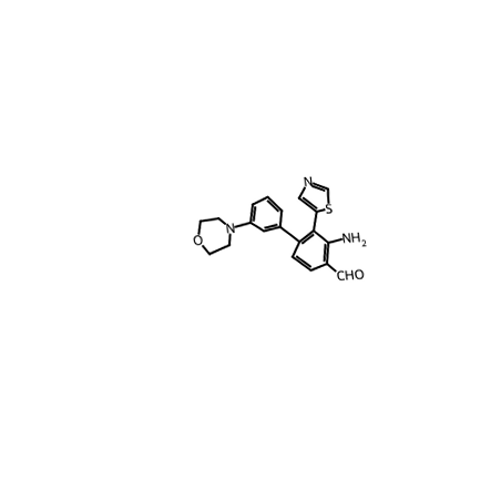 Nc1c(C=O)ccc(-c2cccc(N3CCOCC3)c2)c1-c1cncs1